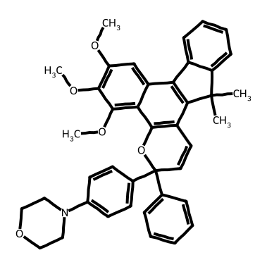 COc1cc2c3c(c4c(c2c(OC)c1OC)OC(c1ccccc1)(c1ccc(N2CCOCC2)cc1)C=C4)C(C)(C)c1ccccc1-3